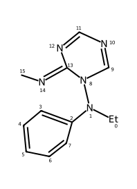 CCN(c1ccccc1)n1cncn/c1=N\C